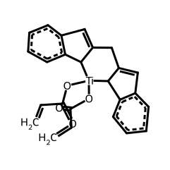 C=CC(=O)[O][Ti]1([O]C(=O)C=C)[CH]2C(=Cc3ccccc32)CC2=Cc3ccccc3[CH]21